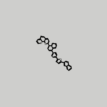 c1ccc2cc(-c3ccc(-c4ccc(-c5ccc(-c6ccc7ccc8cccnc8c7n6)c6ccccc56)cc4)o3)ccc2c1